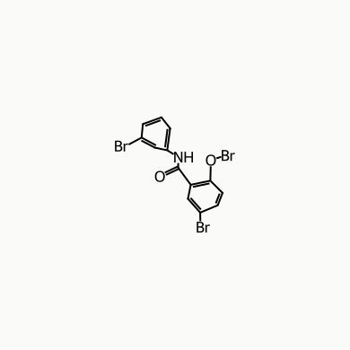 O=C(Nc1cccc(Br)c1)c1cc(Br)ccc1OBr